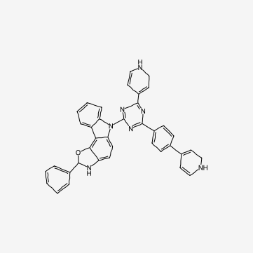 C1=CC(c2ccc(-c3nc(C4=CCNC=C4)nc(-n4c5ccccc5c5c6c(ccc54)NC(c4ccccc4)O6)n3)cc2)=CCN1